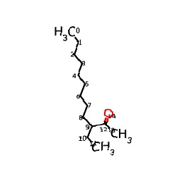 CCCCCCCCCC(CC)C(C)=O